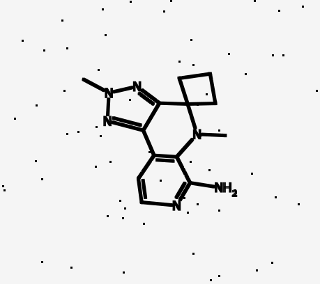 CN1c2c(ccnc2N)-c2nn(C)nc2C12CCC2